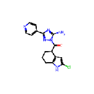 Nc1nc(-c2ccncc2)nn1C(=O)C1CCCc2[nH]c(Cl)cc21